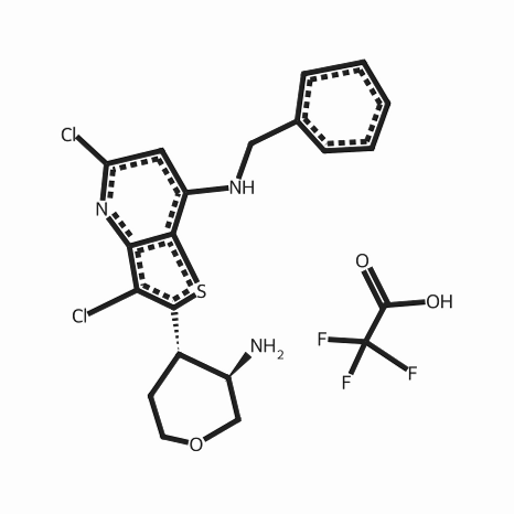 N[C@H]1COCC[C@@H]1c1sc2c(NCc3ccccc3)cc(Cl)nc2c1Cl.O=C(O)C(F)(F)F